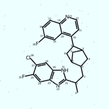 CC(CC1CC2CC1CC2c1ccnc2ccc(F)cc12)c1nc2cc(F)c(Cl)cc2[nH]1